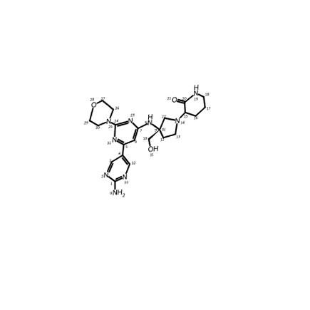 Nc1ncc(-c2cc(N[C@@]3(CO)CCN(C4CCCNC4=O)C3)nc(N3CCOCC3)n2)cn1